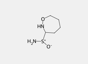 N[S+]([O-])C1CCCCON1